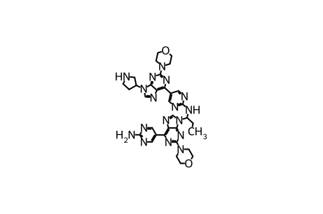 CCC(Nc1ncc(-c2nc(N3CCOCC3)nc3c2ncn3C2CCNC2)cn1)n1cnc2c(-c3cnc(N)nc3)nc(N3CCOCC3)nc21